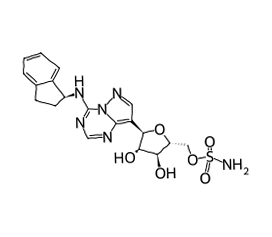 NS(=O)(=O)OC[C@H]1O[C@H](c2cnn3c(N[C@H]4CCc5ccccc54)ncnc23)[C@H](O)[C@@H]1O